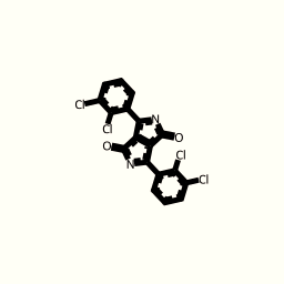 O=c1nc(-c2cccc(Cl)c2Cl)c2c(=O)nc(-c3cccc(Cl)c3Cl)c1=2